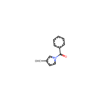 O=Cc1ccn(C(=O)c2ccccc2)c1